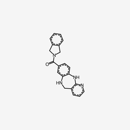 O=C(c1ccc2c(c1)NCc1cccnc1N2)N1Cc2ccccc2C1